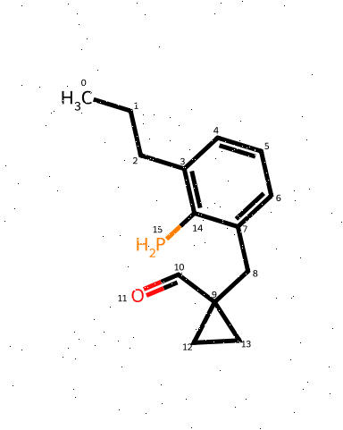 CCCc1cccc(CC2(C=O)CC2)c1P